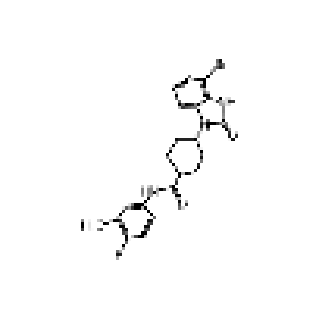 Cc1cc(NC(=O)C2CCC(n3c(=O)[nH]c4c(Br)cccc43)CC2)ccc1F